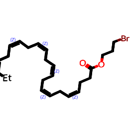 CC/C=C\C/C=C\C/C=C\C/C=C\C/C=C\C/C=C\CCC(=O)OCCCBr